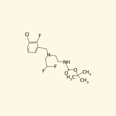 CC(C)(C)OC(=O)NCCN(Cc1cccc(Cl)c1F)CC(F)F